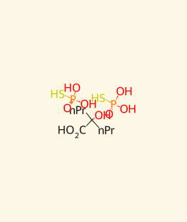 CCCC(O)(CCC)C(=O)O.O=P(O)(O)S.O=P(O)(O)S